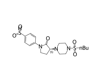 CCCCS(=O)(=O)N1CCN([C@H]2CCN(c3ccc([SH](=O)=O)cc3)C2=O)CC1